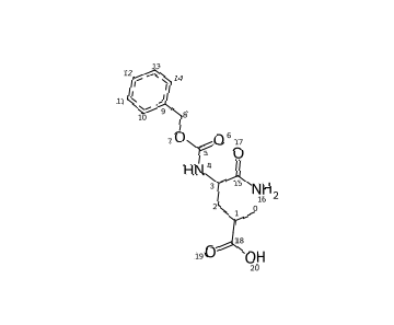 CC(CC(NC(=O)OCc1ccccc1)C(N)=O)C(=O)O